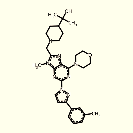 Cc1cccc(-c2ccn(-c3nc(N4CCOCC4)c4nc(CN5CCC(C(C)(C)O)CC5)n(C)c4n3)n2)c1